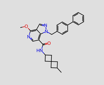 COc1ncc(C(=O)NC2CC3(CC(C)C3)C2)c2c1cnn2Cc1ccc(-c2ccccc2)cc1